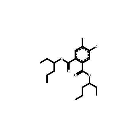 CCCC(CC)OC(=O)c1cc(C)c(Cl)cc1C(=O)OC(CC)CCC